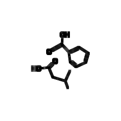 CC(C)CC(=O)O.O=C(O)c1ccccc1